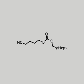 CCCCCCCCOC(=O)OCCCCC#N